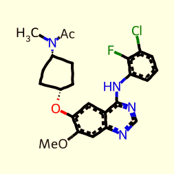 COc1cc2ncnc(Nc3cccc(Cl)c3F)c2cc1O[C@H]1CC[C@@H](N(C)C(C)=O)CC1